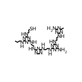 CCCNc1nc(NCCS)nc(NCCNc2ncnc(NCCNc3nc(N)nc(NCCNc4nc(C)nc(N)n4)n3)n2)n1